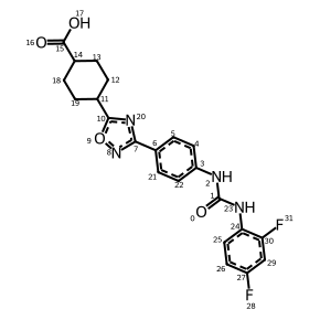 O=C(Nc1ccc(-c2noc(C3CCC(C(=O)O)CC3)n2)cc1)Nc1ccc(F)cc1F